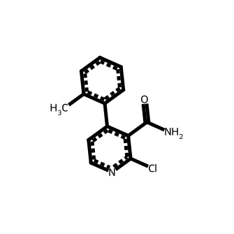 Cc1ccccc1-c1ccnc(Cl)c1C(N)=O